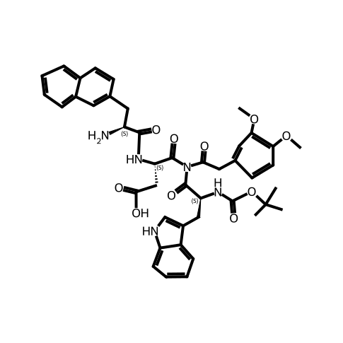 COc1ccc(CC(=O)N(C(=O)[C@H](Cc2c[nH]c3ccccc23)NC(=O)OC(C)(C)C)C(=O)[C@H](CC(=O)O)NC(=O)[C@@H](N)Cc2ccc3ccccc3c2)cc1OC